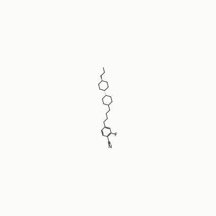 CCC[C@H]1CC[C@H](C2CCC(CCCCc3ccc(C#N)c(F)c3)CC2)CC1